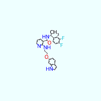 C[C@H](NC(=O)c1cccnc1NCCOc1ccc2cc[nH]c2c1)c1ccc(F)c(F)c1